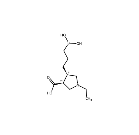 CCN1C[C@H](CCCB(O)O)[C@H](C(=O)O)C1